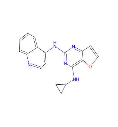 c1ccc2c(Nc3nc(NC4CC4)c4occc4n3)ccnc2c1